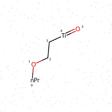 CCCOC[CH2][Ti]=[O]